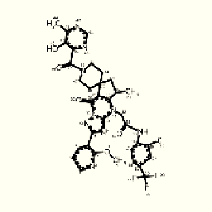 COc1ncccc1-c1nc2n(CC(=O)Nc3ccc(C(F)(F)F)cc3Cl)c3c(c(=O)n2n1)C1(CCN(C(=O)c2ncnc(C)c2O)CC1)CC3C